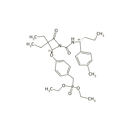 CCC[C@@H](NC(=O)N1C(=O)C(CC)(CC)[C@@H]1Oc1ccc(CP(=O)(OCC)OCC)cc1)c1ccc(C)cc1